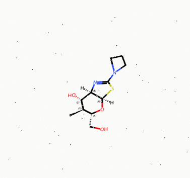 C[C@H]1[C@H](O)[C@H]2N=C(N3CCC3)S[C@H]2O[C@@H]1CO